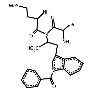 CSCCC(N)C(=O)N(C(=O)C(N)C(C)C)C(Cc1cn(C(=O)c2ccccc2)c2ccccc12)C(=O)O